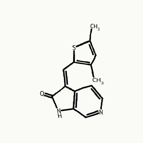 Cc1cc(C)c(C=C2C(=O)Nc3cnccc32)s1